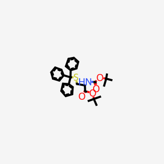 CC(C)(C)OC(=O)NC(CSC(c1ccccc1)(c1ccccc1)c1ccccc1)C(=O)OC(C)(C)C